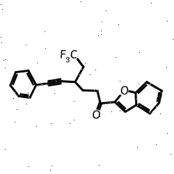 O=C(CCC(C#Cc1ccccc1)CC(F)(F)F)c1cc2ccccc2o1